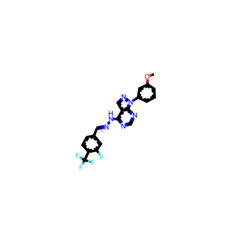 COc1cccc(-n2ncc3c(N/N=C/c4ccc(C(F)(F)F)c(F)c4)ncnc32)c1